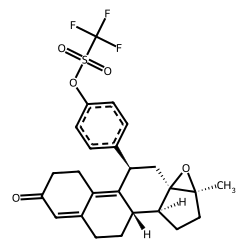 C[C@]12CC[C@H]3[C@@H]4CCC5=CC(=O)CCC5=C4[C@@H](c4ccc(OS(=O)(=O)C(F)(F)F)cc4)C[C@@]31O2